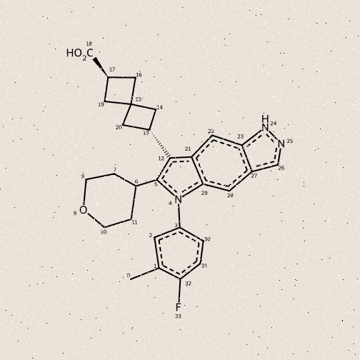 Cc1cc(-n2c(C3CCOCC3)c([C@H]3CC4(C[C@H](C(=O)O)C4)C3)c3cc4[nH]ncc4cc32)ccc1F